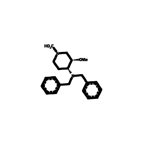 CO[C@H]1CN(C(=O)O)CC[C@H]1N(Cc1ccccc1)Cc1ccccc1